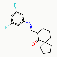 O=C1C(/C=N/c2cc(F)cc(F)c2)CCCC12CCCC2